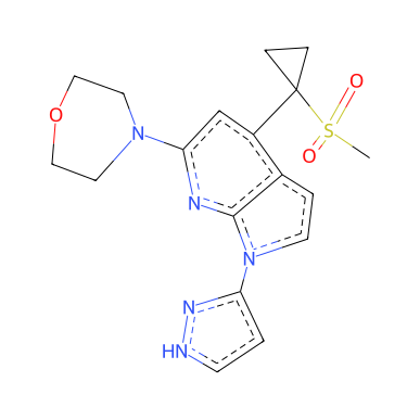 CS(=O)(=O)C1(c2cc(N3CCOCC3)nc3c2ccn3-c2cc[nH]n2)CC1